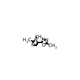 Cc1nnc(-c2cnc(C)n2C)o1